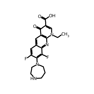 CCn1cc(C(=O)O)c(=O)c2cc3cc(F)c(N4CCCNCC4)c(F)c3nc21